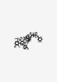 CCOC(=O)C1=C(CN2CC(F)(F)[C@@H]3[C@H]2CON3C[C@@H](F)C(C)(C)C(=O)OCc2ccccc2)NC(c2nc(C)cs2)=N[C@H]1c1cccc(F)c1C